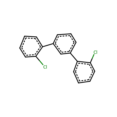 Clc1ccccc1-c1cccc(-c2ccccc2Cl)c1